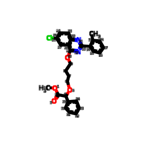 COC(=O)C(OCCCCOc1nc(-c2ccccc2C)nc2ccc(Cl)cc12)c1ccccc1